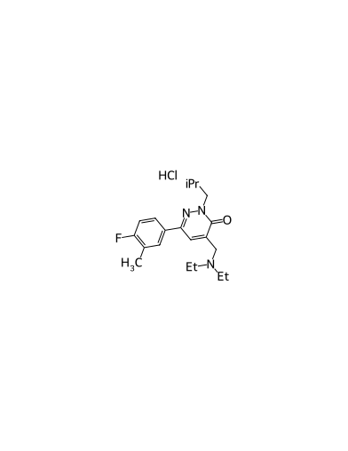 CCN(CC)Cc1cc(-c2ccc(F)c(C)c2)nn(CC(C)C)c1=O.Cl